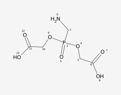 NCP(=O)(OCC(=O)O)OCC(=O)O